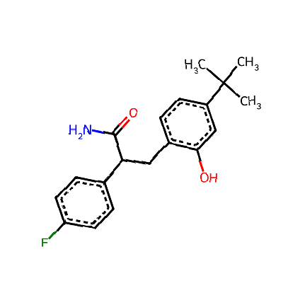 CC(C)(C)c1ccc(CC(C(N)=O)c2ccc(F)cc2)c(O)c1